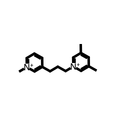 Cc1cc(C)c[n+](CCCc2ccc[n+](C)c2)c1